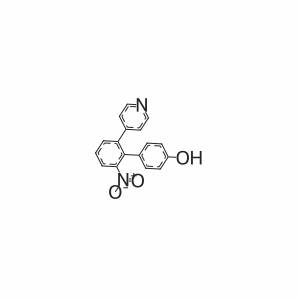 O=[N+]([O-])c1cccc(-c2ccncc2)c1-c1ccc(O)cc1